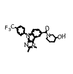 Cc1nc2c(c3cc(C(=O)N4CCCC(O)C4)ccc3n2-c2ccc(C(F)(F)F)cc2)n1C